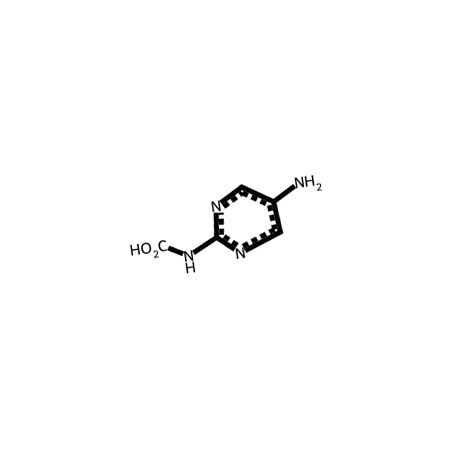 Nc1cnc(NC(=O)O)nc1